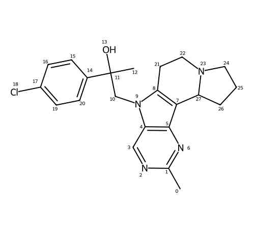 Cc1ncc2c(n1)c1c(n2CC(C)(O)c2ccc(Cl)cc2)CCN2CCCC12